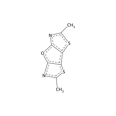 Cc1nc2oc3nc(C)sc3c2s1